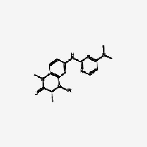 CC(C)N1c2cc(Nc3nccc(N(C)C)n3)ccc2N(C)C(=O)[C@H]1C